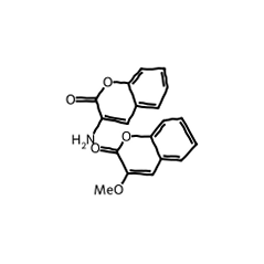 COc1cc2ccccc2oc1=O.Nc1cc2ccccc2oc1=O